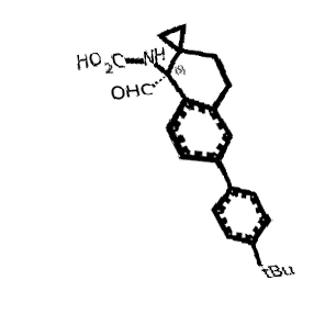 CC(C)(C)c1ccc(-c2ccc3c(c2)CCC2(CC2)[C@]3(C=O)NC(=O)O)cc1